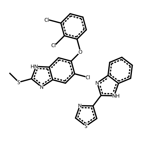 CSc1nc2cc(Cl)c(Oc3cccc(Cl)c3Cl)cc2[nH]1.c1ccc2[nH]c(-c3cscn3)nc2c1